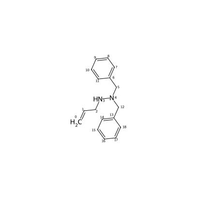 C=CCNN(Cc1ccccc1)Cc1ccccc1